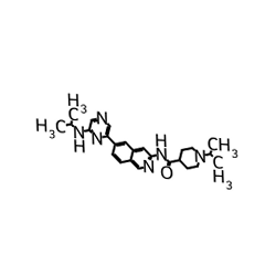 CC(C)Nc1cncc(-c2ccc3cnc(NC(=O)C4CCN(C(C)C)CC4)cc3c2)n1